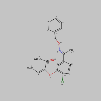 COC=C(Oc1cc(C(C)=NOCc2ccccc2)ccc1Cl)C(=O)OC